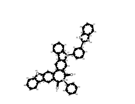 O=c1c2cc3c(cc2c2cc4c5ccccc5n(-c5cccc(-c6nc7ccccc7s6)c5)c4cc2c(=O)n1-c1ccccc1)oc1ccccc13